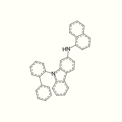 c1ccc(-c2ccccc2-n2c3ccccc3c3ccc(Nc4cccc5ccccc45)cc32)cc1